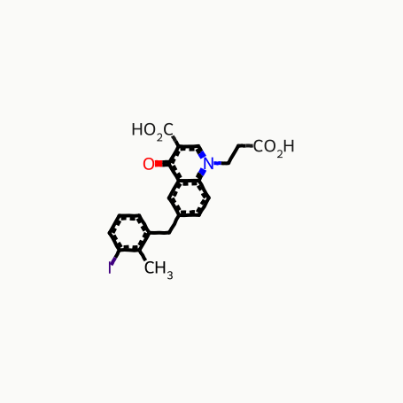 Cc1c(I)cccc1Cc1ccc2c(c1)c(=O)c(C(=O)O)cn2CCC(=O)O